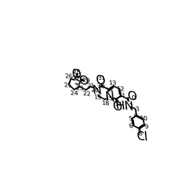 O=C(NCc1ccc(Cl)cc1)c1ccc2n(c1=O)CCN(CCC1CCCS1(=O)=O)C2=O